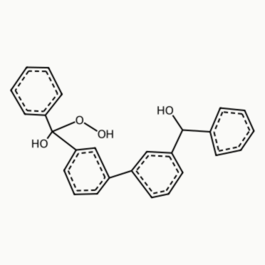 OOC(O)(c1ccccc1)c1cccc(-c2cccc(C(O)c3ccccc3)c2)c1